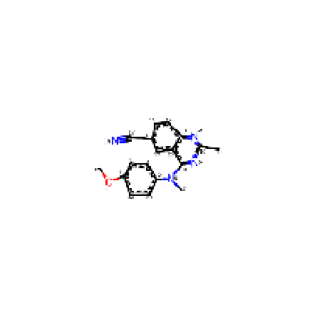 COc1ccc(N(C)c2nc(C)nc3ccc(C#N)cc23)cc1